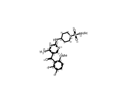 COc1ccc(F)c(F)c1C(=O)c1cnc(NC2CCN(S(=O)(=O)NC(C)=O)CC2)nc1N